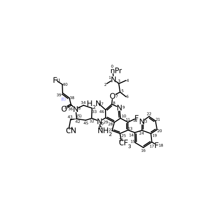 CCCN(C)C(C)C(C)Oc1nc2c(F)c(-c3ccc(F)c4cccnc34)c(C(F)(F)F)cc2c(N(N)C2CCN(C(=O)/C=C/CF)[C@H](CC#N)C2)c1N